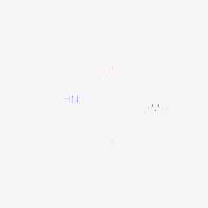 COC1SC=C(C)NC1=O